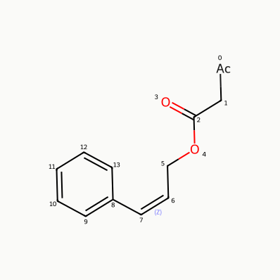 CC(=O)CC(=O)OC/C=C\c1ccccc1